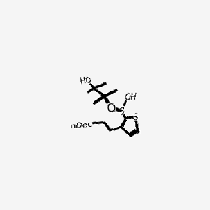 CCCCCCCCCCCCc1ccsc1B(O)OC(C)(C)C(C)(C)O